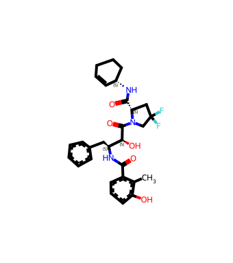 Cc1c(O)cccc1C(=O)N[C@@H](Cc1ccccc1)[C@H](O)C(=O)N1CC(F)(F)C[C@H]1C(=O)N[C@@H]1C=CCCC1